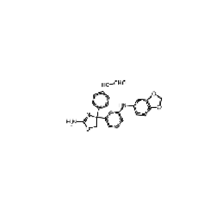 NC1=NC(c2ccccc2)(c2cccc(Nc3ccc4c(c3)OCO4)c2)CO1.O=CO